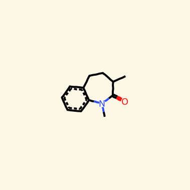 CC1CCc2ccccc2N(C)C1=O